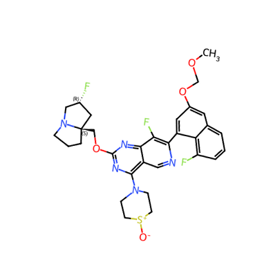 COCOc1cc(-c2ncc3c(N4CC[S+]([O-])CC4)nc(OC[C@@]45CCCN4C[C@H](F)C5)nc3c2F)c2c(F)cccc2c1